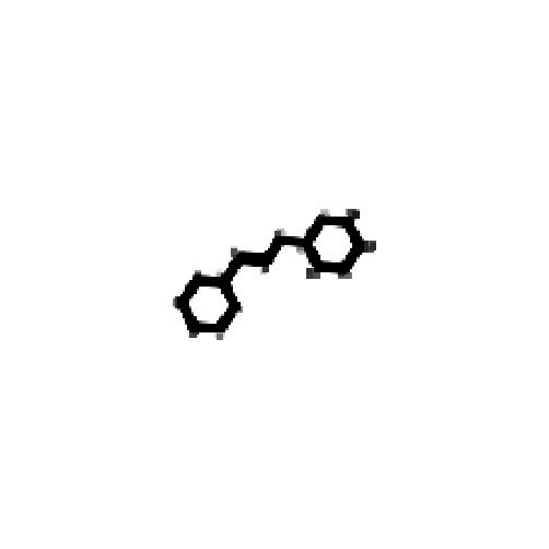 C(=CC1CCCCC1)CC1CCCCC1